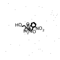 CN(CCO)S(=O)(=O)c1cccc([N+](=O)[O-])c1C(N)=O